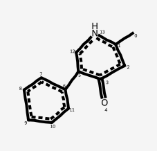 Cc1cc(=O)c(-c2ccccc2)c[nH]1